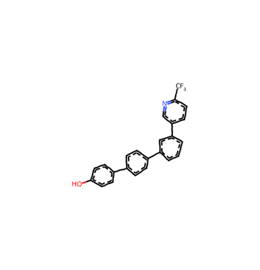 Oc1ccc(-c2ccc(-c3cccc(-c4ccc(C(F)(F)F)nc4)c3)cc2)cc1